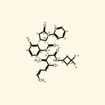 C=C(/C(Cl)=C\C=C/C)[C@@H](C(=O)NC1CC(F)(F)C1)N(C(=O)[C@@H]1CCC(=O)N1c1ccccn1)c1cccc(F)c1